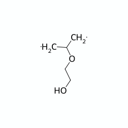 [CH2]C([CH2])OCCO